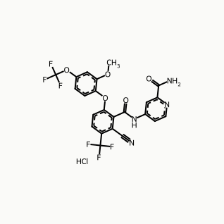 COc1cc(OC(F)(F)F)ccc1Oc1ccc(C(F)(F)F)c(C#N)c1C(=O)Nc1ccnc(C(N)=O)c1.Cl